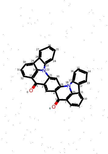 O=c1c2cc3c(=O)c4cccc5c6ccccc6n(c3cc2n2c3ccccc3c3cccc1c32)c45